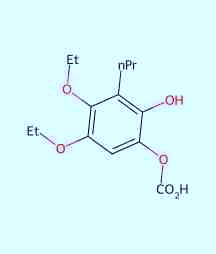 CCCc1c(O)c(OC(=O)O)cc(OCC)c1OCC